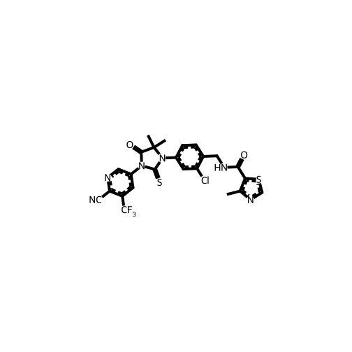 Cc1ncsc1C(=O)NCc1ccc(N2C(=S)N(c3cnc(C#N)c(C(F)(F)F)c3)C(=O)C2(C)C)cc1Cl